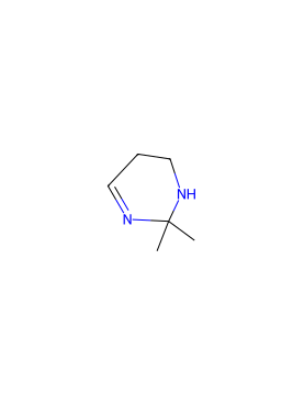 CC1(C)N=CCCN1